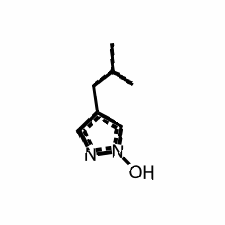 CC(C)Cc1cnn(O)c1